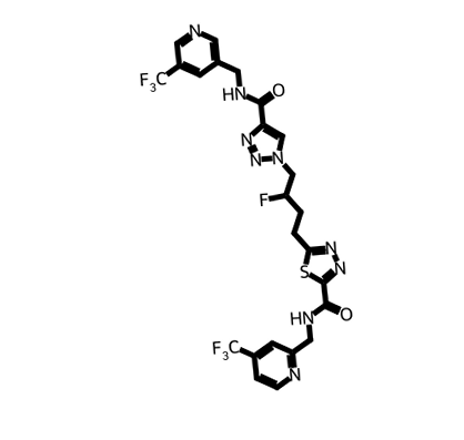 O=C(NCc1cncc(C(F)(F)F)c1)c1cn(CC(F)CCc2nnc(C(=O)NCc3cc(C(F)(F)F)ccn3)s2)nn1